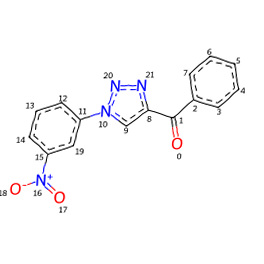 O=C(c1ccccc1)c1cn(-c2cccc([N+](=O)[O-])c2)nn1